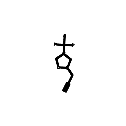 C#CCN1CN(C(F)(F)F)CO1